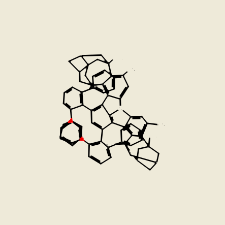 CC12CC3CC(C1)CC(C)(C3)c1c2c(C#N)cc2c1c1c(-c3c(-c4ccccc4)cccc3-c3ccccc3)cc(-c3c(-c4ccccc4)cccc3-c3ccccc3)c3c4c5c(c(C#N)cc4n2c13)C1(C)CC2CC3CC5(C)CC23C1